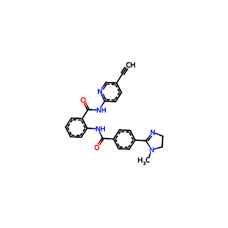 C#Cc1ccc(NC(=O)c2ccccc2NC(=O)c2ccc(C3=NCCN3C)cc2)nc1